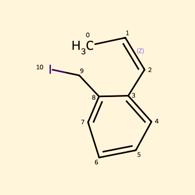 C/C=C\c1ccccc1CI